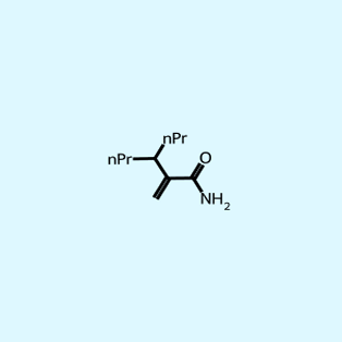 C=C(C(N)=O)C(CCC)CCC